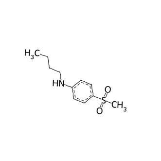 CCCCNc1ccc(S(C)(=O)=O)cc1